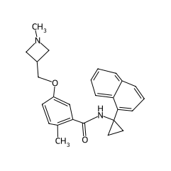 Cc1ccc(OCC2CN(C)C2)cc1C(=O)NC1(c2cccc3ccccc23)CC1